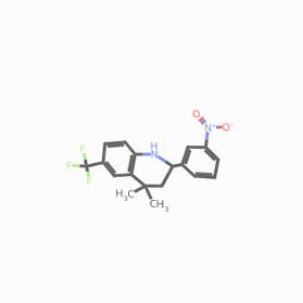 CC1(C)CC(c2cccc([N+](=O)[O-])c2)Nc2ccc(C(F)(F)F)cc21